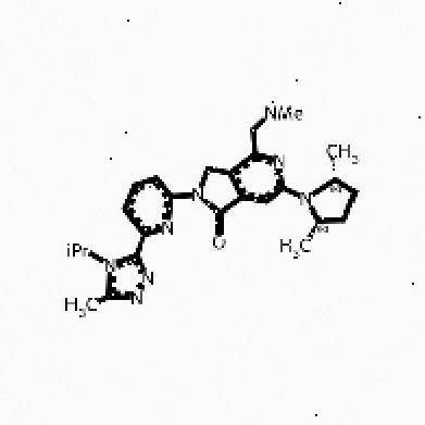 CNCc1nc(N2[C@H](C)CC[C@H]2C)cc2c1CN(c1cccc(-c3nnc(C)n3C(C)C)n1)C2=O